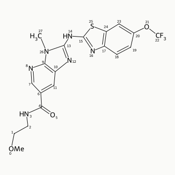 COCCNC(=O)c1cnc2c(c1)nc(Nc1nc3ccc(OC(F)(F)F)cc3s1)n2C